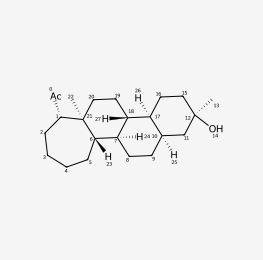 CC(=O)[C@H]1CCCC[C@H]2[C@@H]3CC[C@@H]4C[C@](C)(O)CC[C@@H]4[C@H]3CC[C@]12C